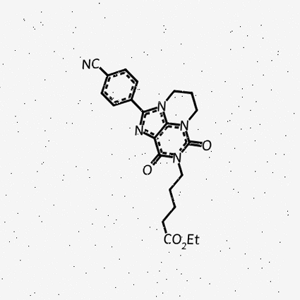 CCOC(=O)CCCCn1c(=O)c2nc(-c3ccc(C#N)cc3)n3c2n(c1=O)CCC3